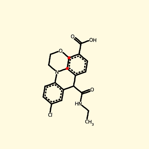 CCNC(=O)C(c1ccc(C(=O)O)cc1)c1cc(Cl)ccc1N1CCOCC1